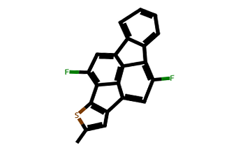 Cc1cc2c(s1)-c1c(F)cc3c4c(c(F)cc-2c14)-c1ccccc1-3